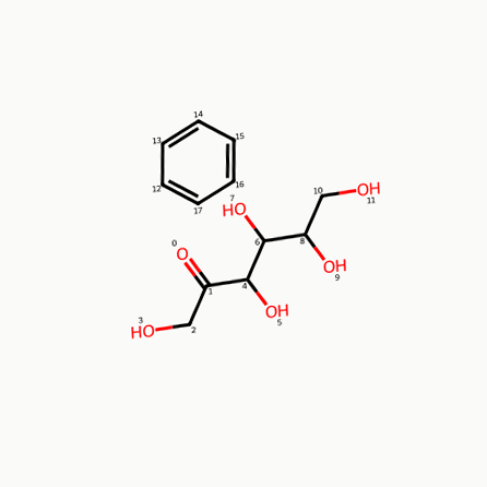 O=C(CO)C(O)C(O)C(O)CO.c1ccccc1